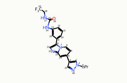 CCCn1cc(-c2ccn3c(-c4cccc(NC(=O)NCC(F)(F)F)c4)cnc3c2)cn1